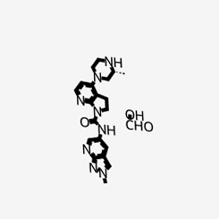 C[C@@H]1CN(c2ccnc3c2CCN3C(=O)Nc2cnc3nn(C)cc3c2)CCN1.O=CO